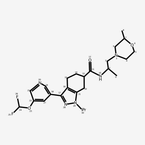 CC(CN1CCOC(C)C1)NC(=O)C1CCc2c(-c3cncc(OC(F)F)c3)nn(C(C)C)c2C1